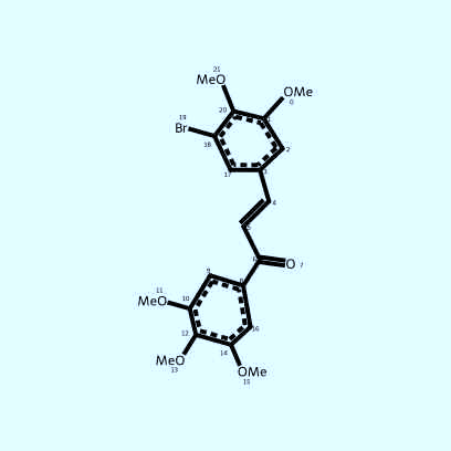 COc1cc(/C=C/C(=O)c2cc(OC)c(OC)c(OC)c2)cc(Br)c1OC